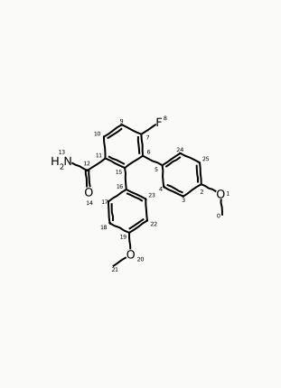 COc1ccc(-c2c(F)ccc(C(N)=O)c2-c2ccc(OC)cc2)cc1